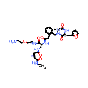 CNC(=O)/C=C\C(=O)NC[C@H](NC(=O)Cc1ccccc1CNC(=O)[C@H](Cc1ccco1)NC(C)=O)C(=O)NCCOCCN